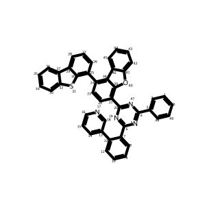 c1ccc(-c2nc(-c3ccccc3-c3cccnc3)nc(-c3ccc(-c4cccc5c4sc4ccccc45)c4c3oc3ccccc34)n2)cc1